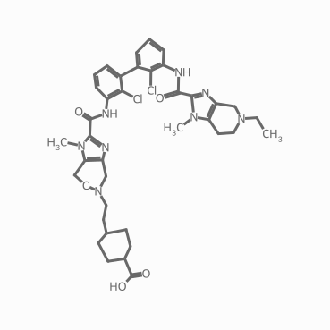 CCN1CCc2c(nc(C(=O)Nc3cccc(-c4cccc(NC(=O)c5nc6c(n5C)CCN(CCC5CCC(C(=O)O)CC5)C6)c4Cl)c3Cl)n2C)C1